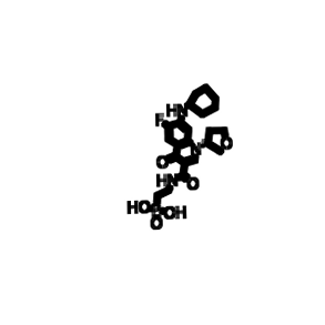 O=C(NCCP(=O)(O)O)c1cn([C@@H]2CCOC2)c2cc(NC3CCCCC3)c(F)cc2c1=O